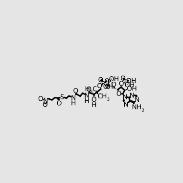 CC(C)(COP(=O)(O)OP(=O)(O)OC[C@H]1O[C@@H](n2cnc3c(N)ncnc32)[C@H](O)[C@@H]1OP(=O)(O)O)C(O)C(=O)NCCC(=O)NCCSC(=O)CCC[N+](=O)[O-]